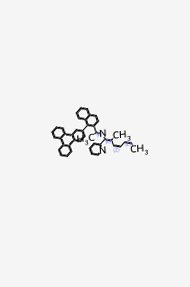 C\C=C/C=C\C(C)=C(\N=C(/C)c1ccc2ccccc2c1-c1ccc2c3ccccc3c3ccccc3c2c1)c1ccccn1